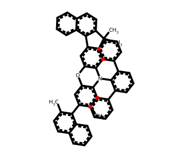 Cc1cc2c(cc1-c1c(C)ccc3ccccc13)Oc1cc3c(cc1N2c1c(-c2ccccc2)cccc1-c1ccccc1)C(C)(C)c1ccc2ccccc2c1-3